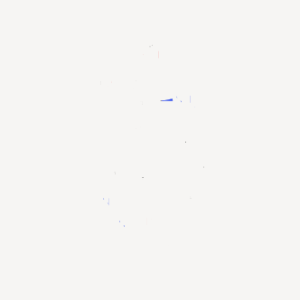 N[C@@H](Cc1cccc2c1C=NNB2O)C(=O)O